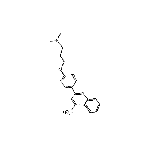 CN(C)CCCOc1ccc(-c2cc(C(=O)O)c3ccccc3n2)cn1